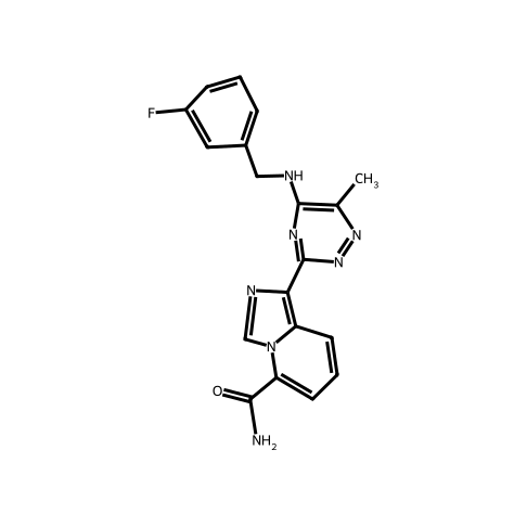 Cc1nnc(-c2ncn3c(C(N)=O)cccc23)nc1NCc1cccc(F)c1